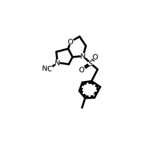 Cc1ccc(CS(=O)(=O)N2CCOC3CN(C#N)CC32)cc1